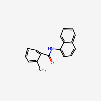 Cc1ccccc1C(=O)Nc1cccc2ccccc12